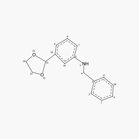 c1ccc(CNc2cccc(C3OCCO3)c2)cc1